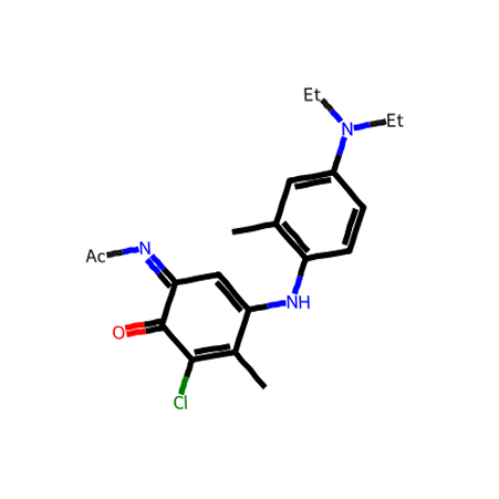 CCN(CC)c1ccc(NC2=CC(=NC(C)=O)C(=O)C(Cl)=C2C)c(C)c1